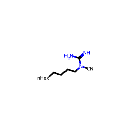 CCCCCCCCCCN(C#N)C(=N)N